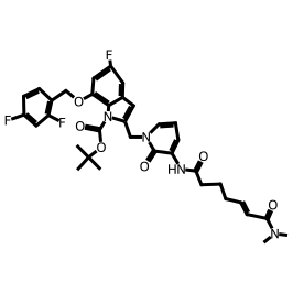 CN(C)C(=O)/C=C/CCCC(=O)Nc1cccn(Cc2cc3cc(F)cc(OCc4ccc(F)cc4F)c3n2C(=O)OC(C)(C)C)c1=O